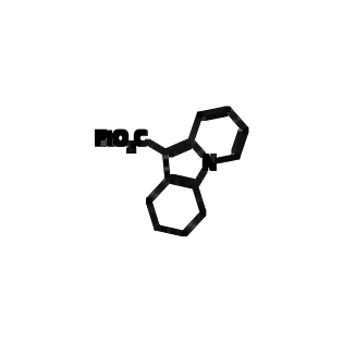 CCOC(=O)c1c2c(n3ccccc13)CCCC2